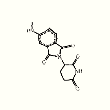 CNc1ccc2c(c1)C(=O)N(C1CCC(=O)NC1=O)C2=O